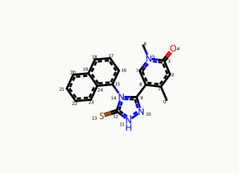 Cc1cc(=O)n(C)cc1-c1n[nH]c(=S)n1-c1cccc2ccccc12